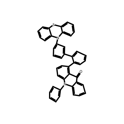 O=c1c2ccccc2n(-c2ccccc2)c2cccc(-c3ccccc3-c3cccc(N4c5ccccc5Sc5ccccc54)c3)c12